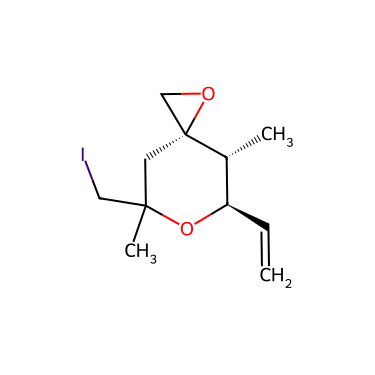 C=C[C@H]1OC(C)(CI)C[C@@]2(CO2)[C@@H]1C